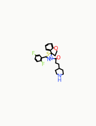 O=C(CCC1CCNCC1)N1N=C(c2cc(F)ccc2F)SC12CCOc1ccccc12